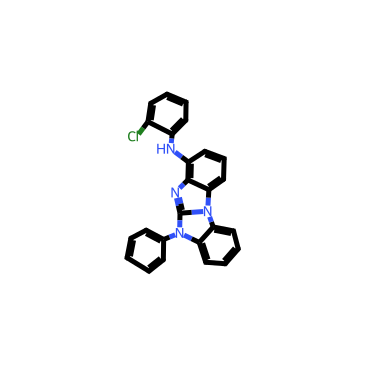 Clc1ccccc1Nc1cccc2c1nc1n(-c3ccccc3)c3ccccc3n21